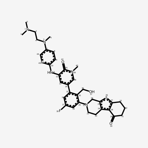 CN(C)CCN(C)c1ccc(Nc2cc(-c3cc(F)cc(N4CCc5c(sc6c5C(=O)CCC6)C4)c3CO)cn(C)c2=O)nc1